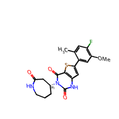 COc1cc(-c2cc3[nH]c(=O)n([C@@H]4CCCNC(=O)C4)c(=O)c3s2)c(C)cc1F